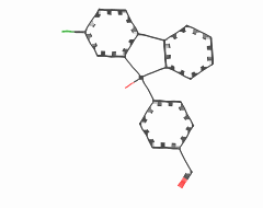 O=Cc1ccc(C2(O)c3ccccc3-c3ccc(Br)cc32)cc1